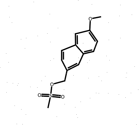 COc1ccc2cc(COS(C)(=O)=O)ccc2c1